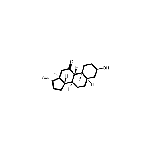 CC(=O)[C@H]1CC[C@H]2[C@@H]3CC[C@@H]4C[C@H](O)CC[C@]4(C)[C@H]3C(=O)C[C@]12C